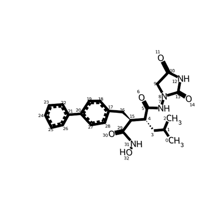 CC(C)C[C@@H](C(=O)NN1CC(=O)NC1=O)[C@H](Cc1ccc(-c2ccccc2)cc1)C(=O)NO